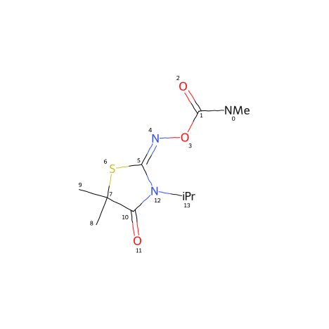 CNC(=O)ON=C1SC(C)(C)C(=O)N1C(C)C